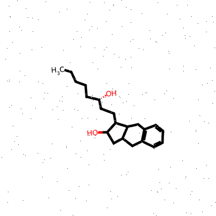 CCCCC[C@H](O)CCC1C(O)CC2Cc3[c]cccc3CC21